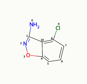 Nc1noc2cccc(Cl)c12